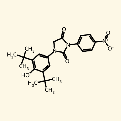 CC(C)(C)c1cc(N2CC(=O)N(c3ccc([N+](=O)[O-])cc3)C2=O)cc(C(C)(C)C)c1O